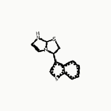 C1=CN2C(N1)SCC2c1csc2ccccc12